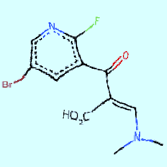 CN(C)/C=C(\C(=O)O)C(=O)c1cc(Br)cnc1F